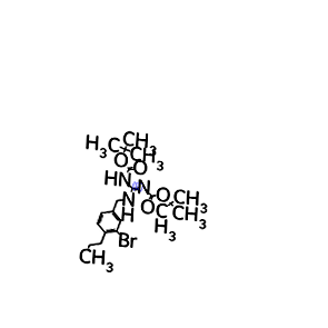 CCCc1ccc(CN/C(=N\C(=O)OC(C)(C)C)NC(=O)OC(C)(C)C)cc1Br